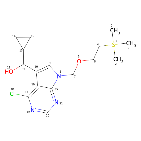 CS(C)(C)CCOCn1cc(C(O)C2CC2)c2c(Cl)ncnc21